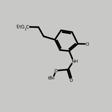 CCOC(=O)CCc1ccc(Cl)c(NC(=O)OC(C)(C)C)c1